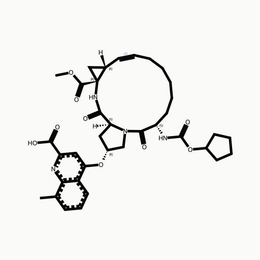 COC(=O)[C@@]12C[C@@H]1/C=C\CCCCC[C@H](NC(=O)OC1CCCC1)C(=O)N1C[C@H](Oc3cc(C(=O)O)nc4c(C)cccc34)C[C@H]1C(=O)N2